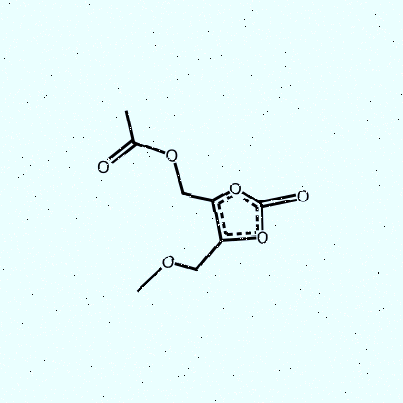 COCc1oc(=O)oc1COC(C)=O